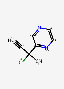 C#CC(Cl)(C#N)c1cnccn1